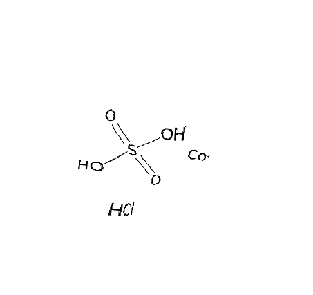 Cl.O=S(=O)(O)O.[Co]